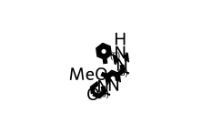 COc1cc([C@H](C)N2CCN[C@H](c3ccccc3C)C2)cnc1N1CCOC[C@@H]1C